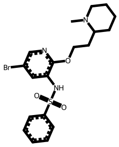 CN1CCCCC1CCOc1ncc(Br)cc1NS(=O)(=O)c1ccccc1